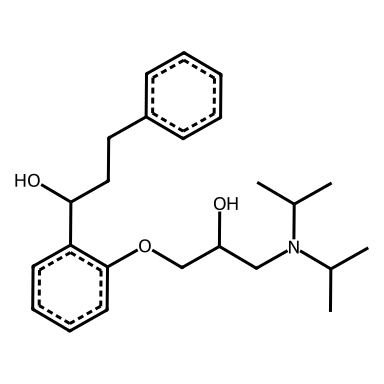 CC(C)N(CC(O)COc1ccccc1C(O)CCc1ccccc1)C(C)C